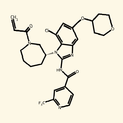 C=CC(=O)N1CCCC[C@@H](n2c(NC(=O)c3ccnc(C(F)(F)F)c3)nc3cc(OC4CCOCC4)cc(Cl)c32)C1